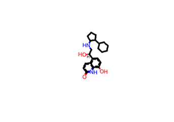 O=c1ccc2c([C@@H](O)CNC3CCCC3C3CCCCC3)ccc(O)c2[nH]1